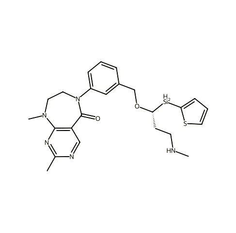 CNCC[C@H](OCc1cccc(N2CCN(C)c3nc(C)ncc3C2=O)c1)[SiH2]c1cccs1